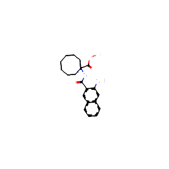 COC(=O)C1(NC(=O)c2cc3ccccc3cc2N)CCCCCCC1